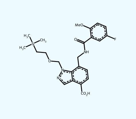 COc1ccc(F)cc1C(=O)NCc1ccc(C(=O)O)c2cnn(COCC[Si](C)(C)C)c12